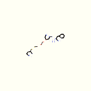 Cc1c(OCCOCCSCc2cccnc2)ccnc1CNc1cnc2ccccc2c1